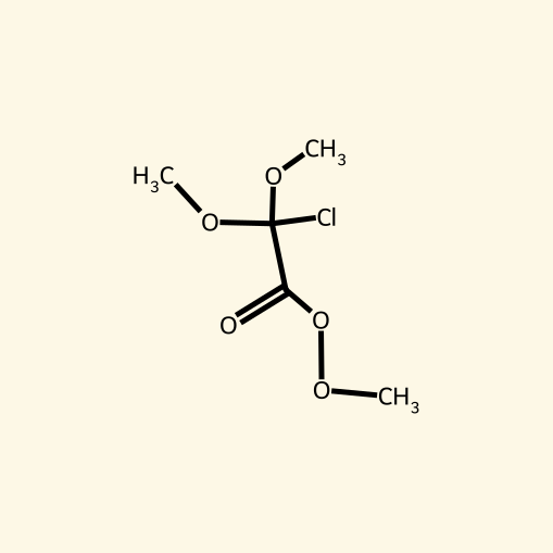 COOC(=O)C(Cl)(OC)OC